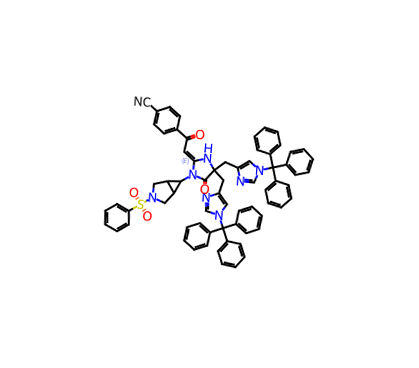 N#Cc1ccc(C(=O)/C=C2\NC(Cc3cn(C(c4ccccc4)(c4ccccc4)c4ccccc4)cn3)(Cc3cn(C(c4ccccc4)(c4ccccc4)c4ccccc4)cn3)C(=O)N2C2C3CN(S(=O)(=O)c4ccccc4)CC32)cc1